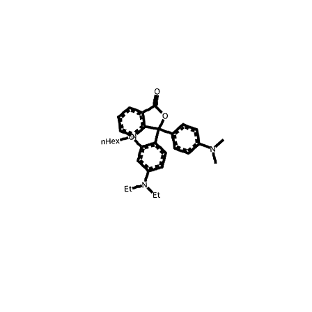 CCCCCCOc1cc(N(CC)CC)ccc1C1(c2ccc(N(C)C)cc2)OC(=O)c2cccnc21